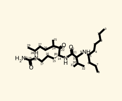 CCCCCC(CCC)NC(C(=O)N[C@H](CCCNC(N)=O)C(=O)C(C)CCCC)C(C)C